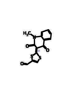 CN1C(=O)/C(=C2/SC=C(C=O)S2)C(=O)c2ccccc21